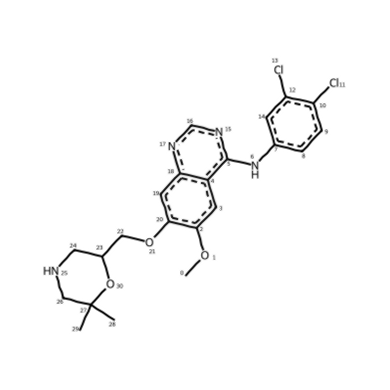 COc1cc2c(Nc3ccc(Cl)c(Cl)c3)ncnc2cc1OCC1CNCC(C)(C)O1